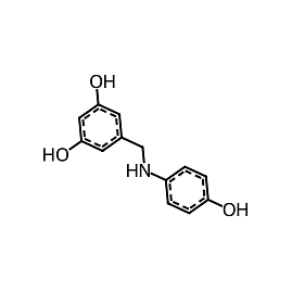 Oc1ccc(NCc2cc(O)cc(O)c2)cc1